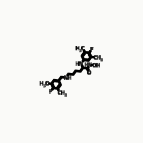 Cc1cc(CNCCCCC(Nc2cc(C)c(F)c(C)c2)C(=O)NO)cc(C)c1F